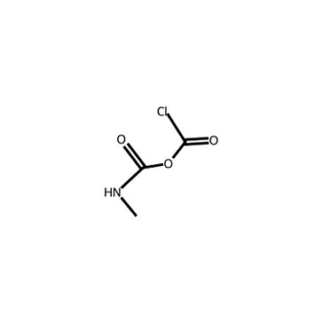 CNC(=O)OC(=O)Cl